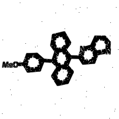 COc1ccc(-c2c3ccccc3c(-c3ccc4ncccc4n3)c3ccccc23)cc1